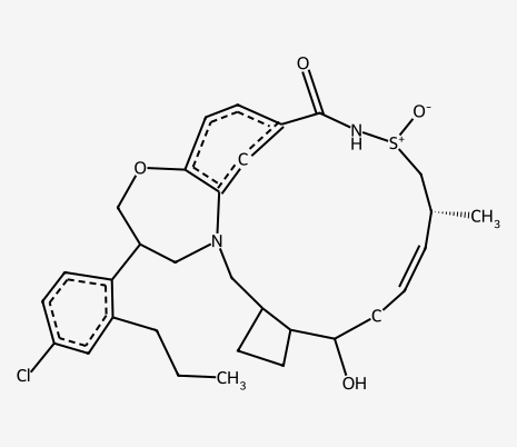 CCCc1cc(Cl)ccc1C1COc2ccc3cc2N(C1)CC1CCC1C(O)C/C=C\[C@@H](C)C[S+]([O-])NC3=O